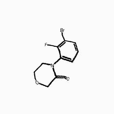 O=C1COCCN1c1cccc(Br)c1F